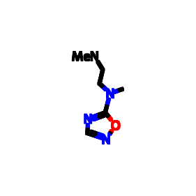 CNCCN(C)c1ncno1